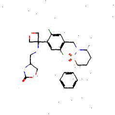 C[C@H]1CC[C@H](c2ccccc2)S(=O)(=O)N1Cc1cc(F)c(C2(NCC3COC(=O)N3)COC2)cc1F